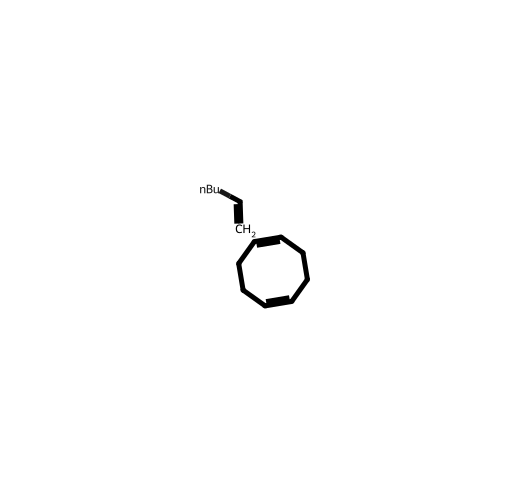 C1=C\CC/C=C\CC/1.C=CCCCC